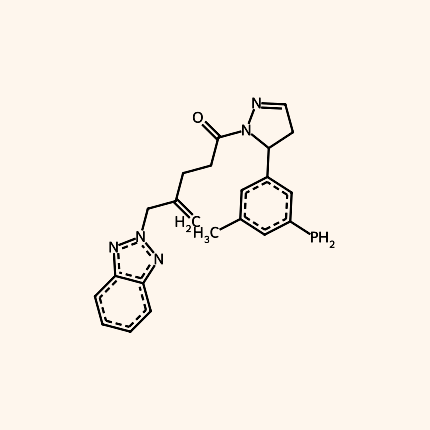 C=C(CCC(=O)N1N=CCC1c1cc(C)cc(P)c1)Cn1nc2ccccc2n1